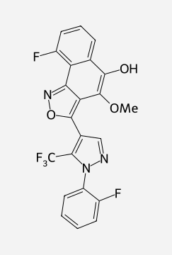 COc1c(O)c2cccc(F)c2c2noc(-c3cnn(-c4ccccc4F)c3C(F)(F)F)c12